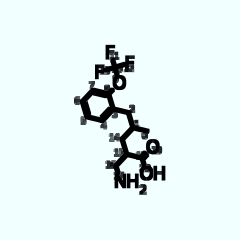 CC(Cc1ccccc1OC(F)(F)F)CC(CN)C(=O)O